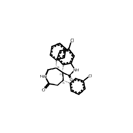 O=C1C[C@@H](c2cccc(Cl)c2)[C@]2(C(=O)Nc3cc(Cl)ccc32)[C@@H](c2ccccc2)CN1